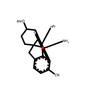 CCCN1C(=O)C2(N=C1N)c1cc(C#N)ccc1CC21CCC(OC)CC1